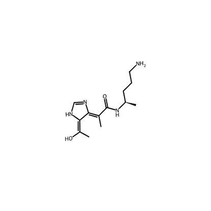 C/C(C(=O)N[C@H](C)CCCN)=c1/nc[nH]/c1=C(/C)O